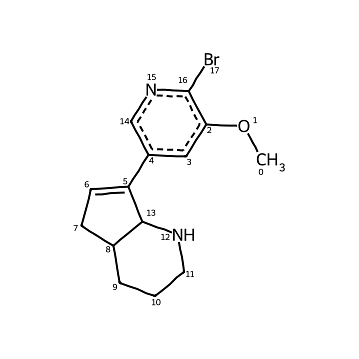 COc1cc(C2=CCC3CCCNC23)cnc1Br